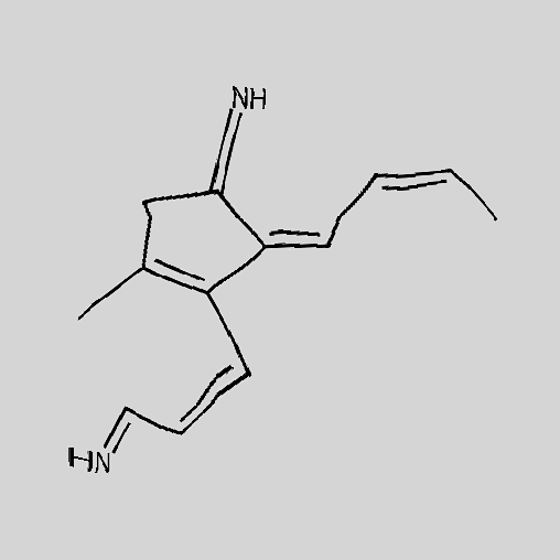 C/C=C\C=C1/C(=N)CC(C)=C1/C=C\C=N